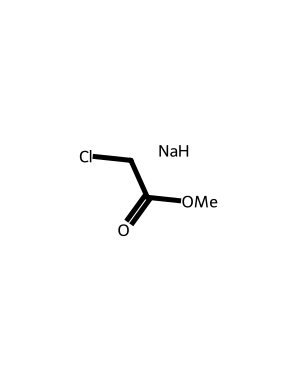 COC(=O)CCl.[NaH]